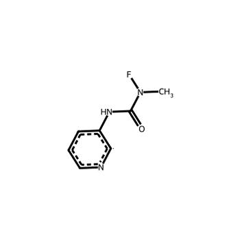 CN(F)C(=O)Nc1[c]nccc1